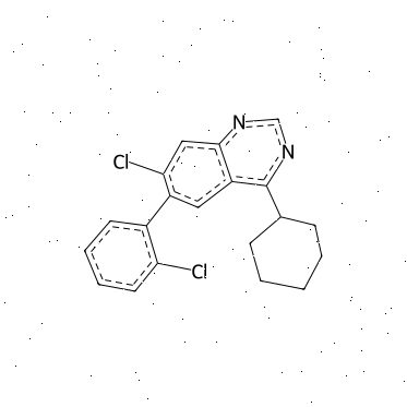 Clc1ccccc1-c1cc2c(C3CCCCC3)ncnc2cc1Cl